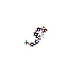 COC(=O)c1sccc1S(=O)(=O)Nc1ccc(Oc2ccc3cc(C(=O)N4CCN(Cc5ccc(OCC(F)(F)F)cc5)CC4)n(C)c3c2)nc1